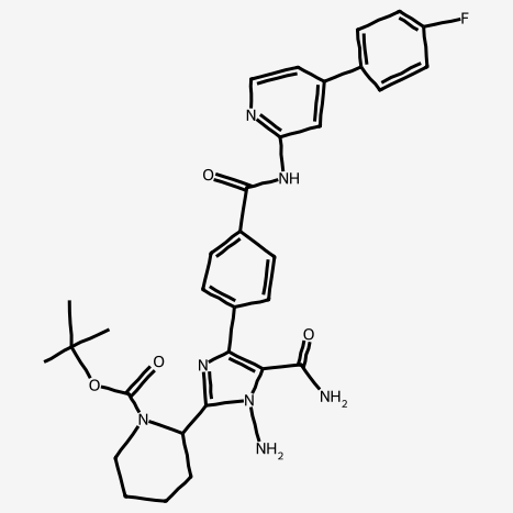 CC(C)(C)OC(=O)N1CCCCC1c1nc(-c2ccc(C(=O)Nc3cc(-c4ccc(F)cc4)ccn3)cc2)c(C(N)=O)n1N